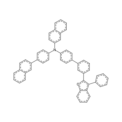 c1ccc(-c2c(-c3cccc(-c4ccc(N(c5ccc(-c6ccc7ccccc7c6)cc5)c5ccc6ccccc6c5)cc4)c3)oc3ccccc23)cc1